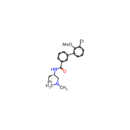 CCc1cccc(-c2cccc(C(=O)N[C@H](CC(C)C)CN(C)C)c2)c1OC